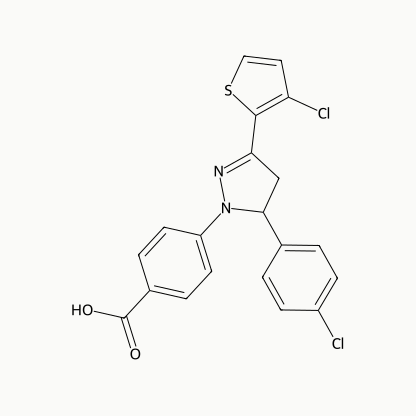 O=C(O)c1ccc(N2N=C(c3sccc3Cl)CC2c2ccc(Cl)cc2)cc1